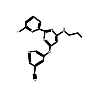 CCCNc1cc(Nc2cncc(C#N)c2)nc(-c2cccc(Cl)n2)n1